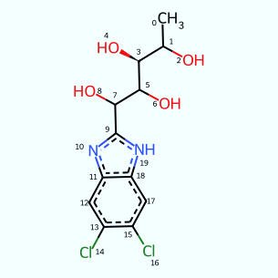 CC(O)[C@H](O)C(O)C(O)c1nc2cc(Cl)c(Cl)cc2[nH]1